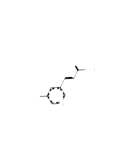 O=C(O)C=Cc1cncc(F)c1